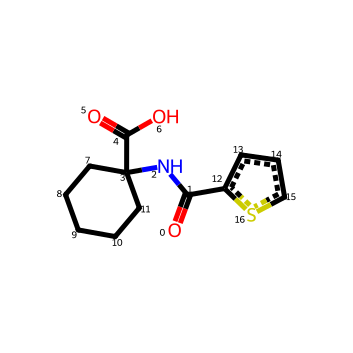 O=C(NC1(C(=O)O)CCCCC1)c1cccs1